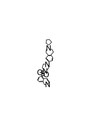 O=S(=O)(c1cccc2cnccc12)N1CCN(c2ccc3c(c2)CCN(C2CCCC2)CC3)CC1